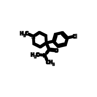 CN1CCC(C(=O)N(C)C)(c2ccc(Cl)cc2)CC1